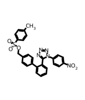 Cc1ccc(S(=O)(=O)OCc2ccc(-c3ccccc3-c3nnnn3-c3ccc([N+](=O)[O-])cc3)cc2)cc1